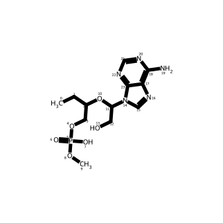 CCC(COP(=O)(O)OC)OC(CO)n1cnc2c(N)ncnc21